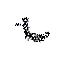 CO/C(=N\c1ccc(Oc2ccc(C(c3ccc(Oc4ccc(/N=C(\OC)c5ccccc5)cc4)cc3)(C(F)(F)F)C(F)(F)F)cc2)cc1)c1ccccc1